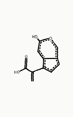 C=C(C(=O)O)c1ccc2coc(O)cc1-2